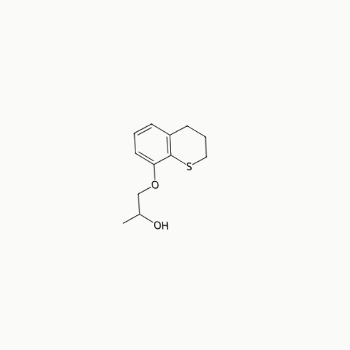 CC(O)COc1cccc2c1SCCC2